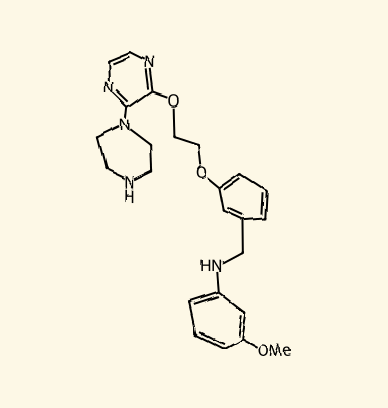 COc1cccc(NCc2cccc(OCCOc3nccnc3N3CCNCC3)c2)c1